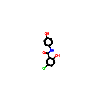 O=C(Nc1ccc(O)cc1)c1cc(Cl)ccc1O